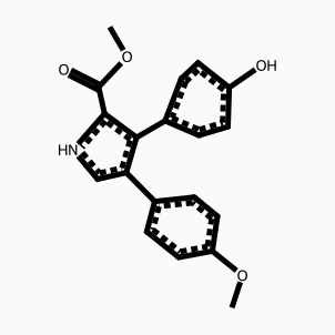 COC(=O)c1[nH]cc(-c2ccc(OC)cc2)c1-c1ccc(O)cc1